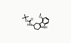 COc1cccc2[nH]c3c(c12)CC(NC(=O)OC(C)(C)C)CC3